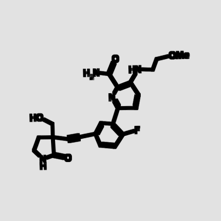 COCCNc1ccc(-c2cc(C#CC3(CO)CCNC3=O)ccc2F)nc1C(N)=O